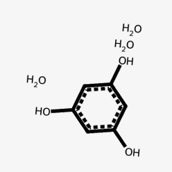 O.O.O.Oc1cc(O)cc(O)c1